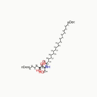 CCCCCCCCCCCCCCCCCCCCCCCCCCCCCC(=O)N[C@@H](CO)[C@H](O)[C@H](O)CCCCCCCCCCCCCC